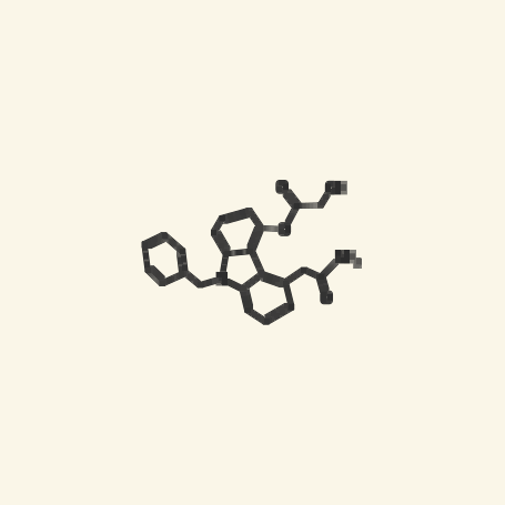 NC(=O)Cc1cccc2c1c1c(OC(=O)CO)cccc1n2Cc1ccccc1